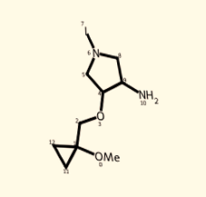 COC1(COC2CN(I)CC2N)CC1